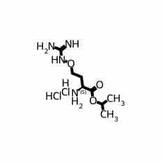 CC(C)OC(=O)[C@@H](N)CCONC(=N)N.Cl.Cl